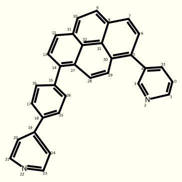 c1cncc(-c2ccc3ccc4ccc(-c5ccc(-c6ccncc6)cc5)c5ccc2c3c45)c1